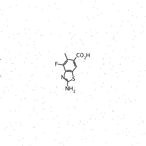 Cc1c(C(=O)O)cc2sc(N)nc2c1F